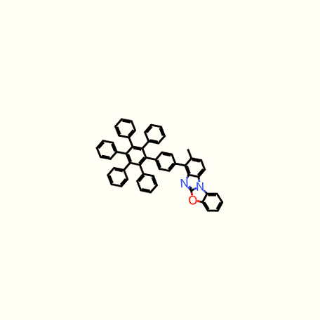 Cc1ccc2c(nc3oc4ccccc4n32)c1-c1ccc(-c2c(-c3ccccc3)c(-c3ccccc3)c(-c3ccccc3)c(-c3ccccc3)c2-c2ccccc2)cc1